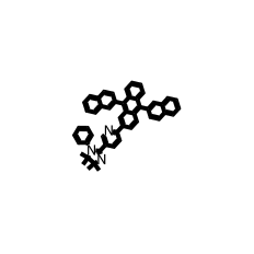 CC1(C)N=C(c2ccc(-c3ccc4c(-c5ccc6ccccc6c5)c5ccccc5c(-c5ccc6ccccc6c5)c4c3)nc2)N(c2ccccc2)C1(C)C